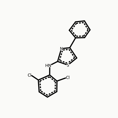 Clc1cccc(Cl)c1Nc1nc(-c2ccccc2)cs1